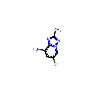 Cc1nc2c(N)cc(Br)cn2n1